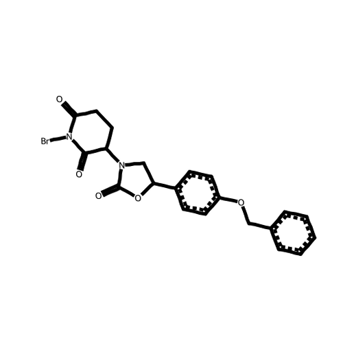 O=C1CCC(N2CC(c3ccc(OCc4ccccc4)cc3)OC2=O)C(=O)N1Br